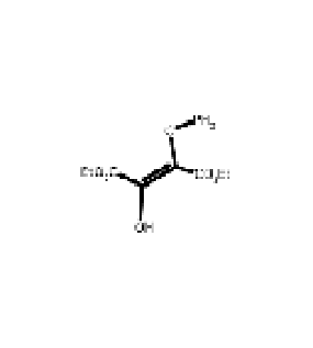 CCOC(=O)/C(O)=C(\OP)C(=O)OCC